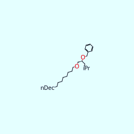 CCCCCCCCCCCCCCCCCCOC[C@H](CC(C)C)OCc1ccccc1